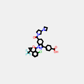 O=C(O)C1CC=C(c2nn(C(=O)c3c(Cl)cccc3C3(C(F)(F)F)CC3)c3c2CCC(C(=O)N2CCC(N4CCC4)C2)C3)CC1